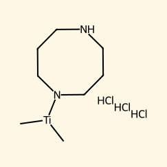 Cl.Cl.Cl.[CH3][Ti]([CH3])[N]1CCCNCCC1